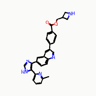 Cc1cccc(-c2[nH]cnc2-c2ccc3ncc(-c4ccc(C(=O)OCC5CNC5)cc4)cc3c2)n1